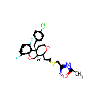 Cc1nc(CSCC[C@@H]2OCC[C@@]3(Cc4ccc(Cl)cc4)c4c(F)ccc(F)c4OC[C@@H]23)no1